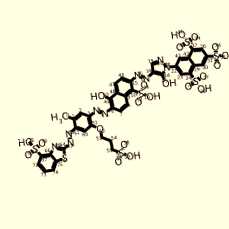 Cc1cc(N=Nc2ccc3c(S(=O)(=O)O)c(N=Nc4cnn(-c5cc(S(=O)(=O)O)c6cc(S(=O)(=O)O)cc(S(=O)(=O)O)c6c5)c4O)ccc3c2O)c(OCCCS(=O)(=O)O)cc1N=Nc1nc2c(S(=O)(=O)O)cccc2s1